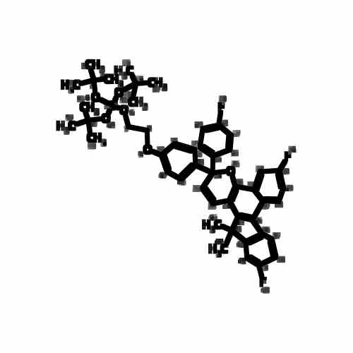 CC(C)(C)O[Si](OCCOc1ccc(C2(c3ccc(F)cc3)C=Cc3c4c(c5ccc(F)cc5c3O2)-c2ccc(F)cc2C4(C)C)cc1)(OC(C)(C)C)OC(C)(C)C